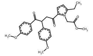 CCc1ccc(C(=O)CC(C(=O)c2ccc(OC)cc2)c2ccc(OC)cc2)n1CC(=O)OC